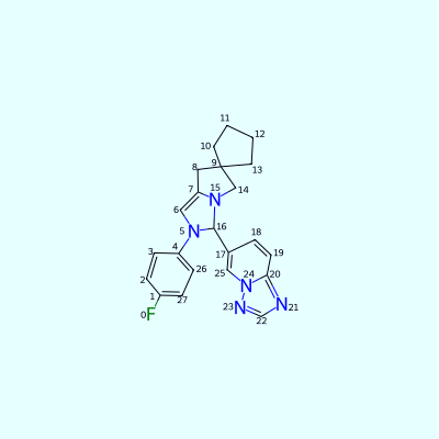 Fc1ccc(N2C=C3CC4(CCCC4)CN3C2c2ccc3ncnn3c2)cc1